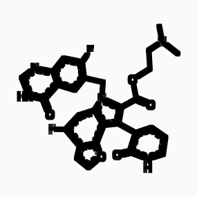 CN(C)CCOC(=O)c1c(-c2ccc[nH]c2=O)c2c3occc3c(F)cc2n1Cc1cc2c(=O)[nH]cnc2cc1F